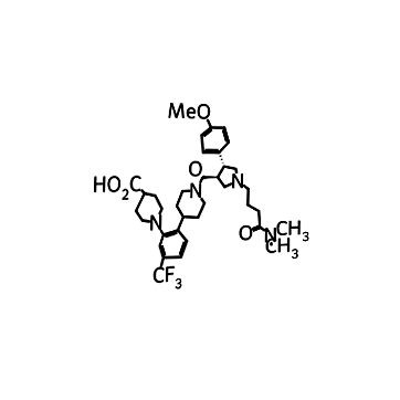 COc1ccc([C@@H]2CN(CCCC(=O)N(C)C)C[C@H]2C(=O)N2CCC(c3ccc(C(F)(F)F)cc3N3CCC(C(=O)O)CC3)CC2)cc1